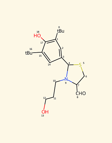 CC(C)(C)c1cc(C2SCC(C=O)N2CCCO)cc(C(C)(C)C)c1O